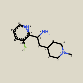 CN1CCC(CC(N)c2ncccc2F)CC1